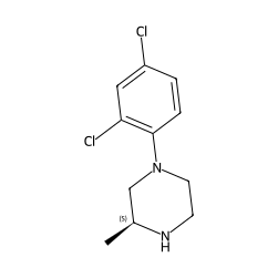 C[C@H]1CN(c2ccc(Cl)cc2Cl)CCN1